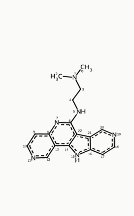 CN(C)CCNc1nc2ccncc2c2[nH]c3ccncc3c12